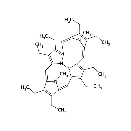 CCc1c(CC)c2cc3c(CC)c(CC)c4cc5c(CC)c(CC)c(cc6c(CC)c(CC)c(cc1n2C)n6n34)n5C